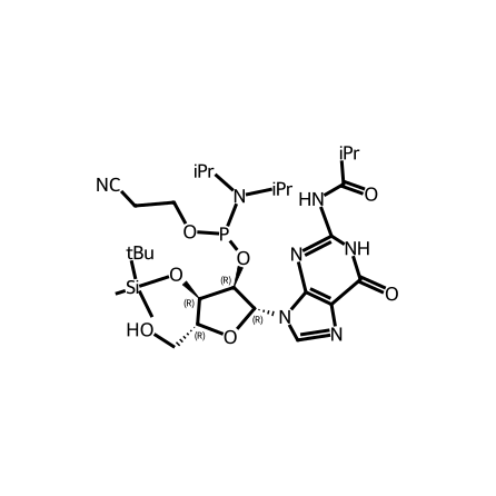 CC(C)C(=O)Nc1nc2c(ncn2[C@@H]2O[C@H](CO)[C@@H](O[Si](C)(C)C(C)(C)C)[C@H]2OP(OCCC#N)N(C(C)C)C(C)C)c(=O)[nH]1